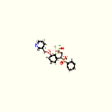 Cl.O=S(=O)(c1ccccc1)C1CS(O)(O)c2c(OCc3cccnc3)cccc21